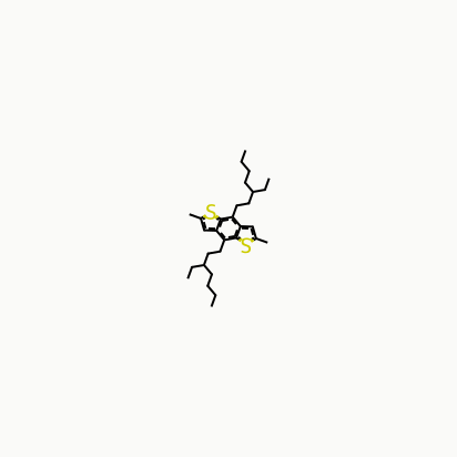 CCCCC(CC)CCc1c2cc(C)sc2c(CCC(CC)CCCC)c2cc(C)sc12